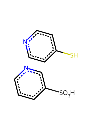 O=S(=O)(O)c1cccnc1.Sc1ccncc1